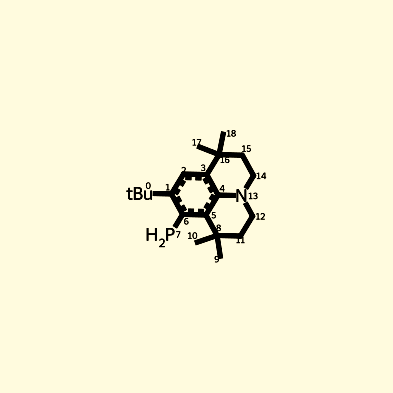 CC(C)(C)c1cc2c3c(c1P)C(C)(C)CCN3CCC2(C)C